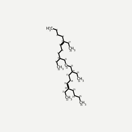 CCCCC(=CCCC(CC)COCC(CC)CCC=C(CC)CCCC)CC